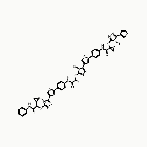 CCn1c(SC(F)C(=O)Nc2ccc(-c3cc(-c4nnc(SC(C(=O)Nc5ccccc5)C5CC5)n4CC)cs3)cc2)nnc1-c1csc(-c2ccc(NC(=O)C3(Sc4nnc(-c5ccsc5)n4CC)CC3)cc2)c1